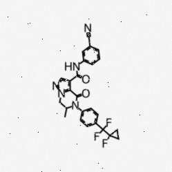 CC1Cn2ncc(C(=O)Nc3cccc(C#N)c3)c2C(=O)N1c1ccc(C(F)(F)C2(F)CC2)cc1